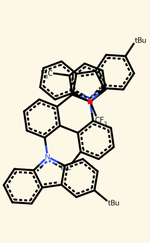 CC(C)(C)c1ccc2c(c1)c1ccccc1n2-c1cccc(C#N)c1-c1c(-c2c(C(F)(F)F)cccc2C(F)(F)F)cccc1-n1c2ccccc2c2cc(C(C)(C)C)ccc21